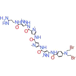 Cn1cc(NC(=O)c2cc(NC(=O)c3ccc(N(CCBr)CCBr)cc3)nn2C)cc1C(=O)Nc1cc(C(=O)Nc2cc(C(=O)NCCC(=N)N)n(C)n2)n(C)c1